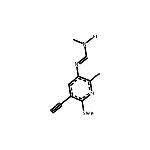 C#Cc1cc(/N=C/N(C)CC)c(C)nc1SC